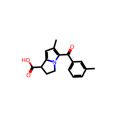 Cc1cccc(C(=O)c2c(C)cc3n2CCC3C(=O)O)c1